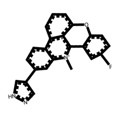 C[n+]1c2c3c(cccc3c3ccc(-c4cn[nH]c4)cc31)Oc1ccc(F)cc1-2